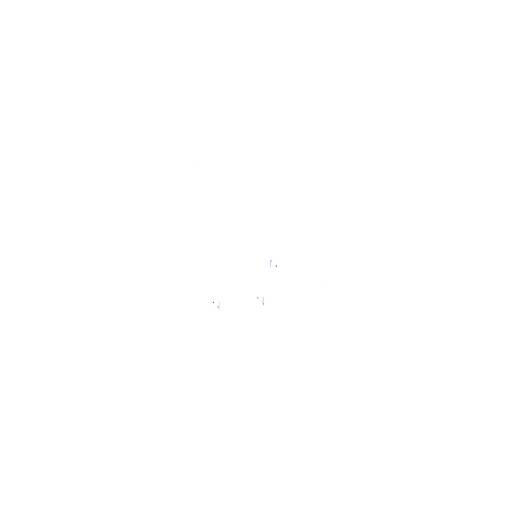 C=N/C(=N\C(=N/Cc1ccc2ccccc2c1)c1ccc(-c2ccccc2)cc1)c1cccc2oc3ccc(-c4cccc(-c5ccccc5)c4)cc3c12